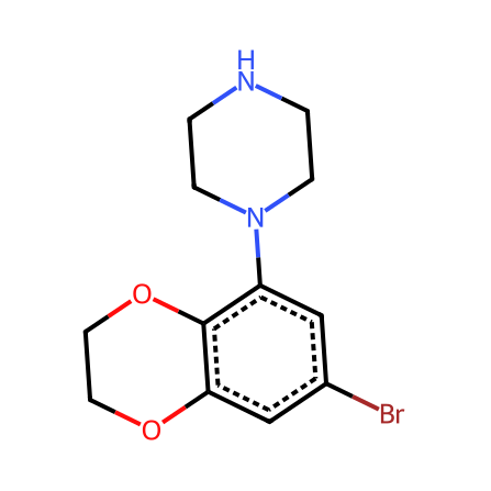 Brc1cc2c(c(N3CCNCC3)c1)OCCO2